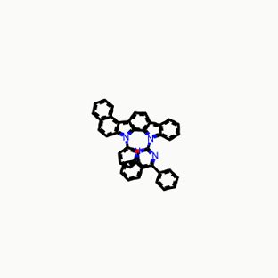 c1ccc(-c2nc(-n3c4ccccc4c4ccc5c6c7ccccc7ccc6n(-c6ccccc6)c5c43)nc3ccccc23)cc1